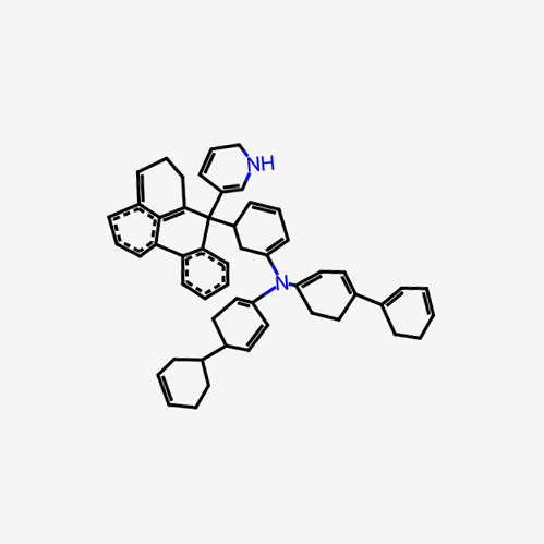 C1=CCCC(C2=CC=C(N(C3=CCC(C4CC=CCC4)C=C3)C3=CC=CC(C4(C5=CNCC=C5)C5=c6c(cccc6=CCC5)-c5ccccc54)C3)CC2)=C1